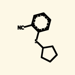 N#Cc1ccccc1SC1CCCC1